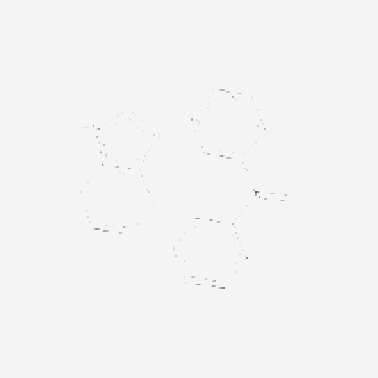 O=C(c1ccccc1)c1ccccc1.c1ccc2[nH]cnc2c1